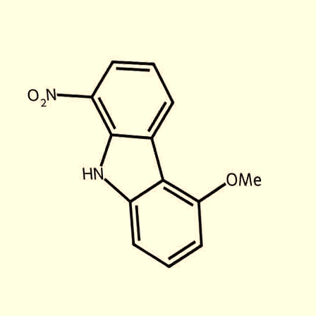 COc1cccc2[nH]c3c([N+](=O)[O-])cccc3c12